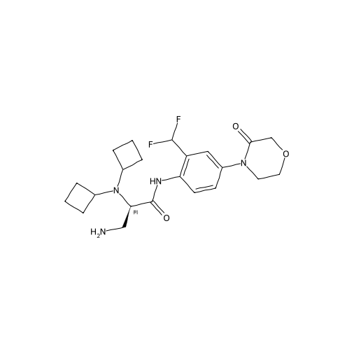 NC[C@H](C(=O)Nc1ccc(N2CCOCC2=O)cc1C(F)F)N(C1CCC1)C1CCC1